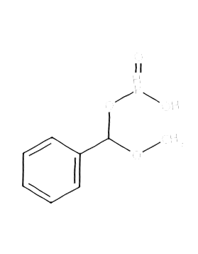 COC(O[PH](=O)O)c1ccccc1